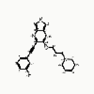 Fc1cccc(C#Cc2nc3cscc3nc2OCCCN2CCCCC2)c1